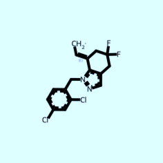 [CH2]/C=C1\CC(F)(F)Cc2cnn(Cc3ccc(Cl)cc3Cl)c21